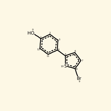 Oc1ccc(-c2ccc(Br)s2)cc1